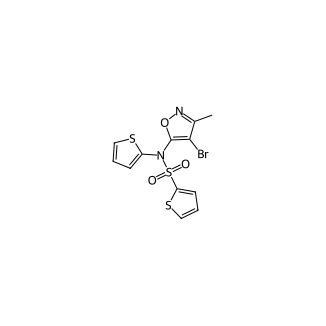 Cc1noc(N(c2cccs2)S(=O)(=O)c2cccs2)c1Br